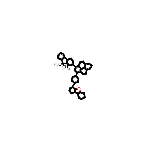 CC1(C)c2ccccc2-c2ccc(-c3cc(-c4ccc(-c5cccc6c5oc5ccccc56)cc4)c4ccc5cccc6ccc3c4c56)cc21